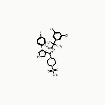 CN(C(=O)C(C)(C)c1cc(Cl)cc(Cl)c1)[C@]1(C(=O)N2CCN(S(C)(=O)=O)CC2)CNC[C@H]1c1ccc(F)cc1